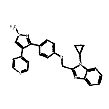 Cn1cc(-c2ccncc2)c(-c2ccc(OCc3nc4ccccc4n3C3CC3)cc2)n1